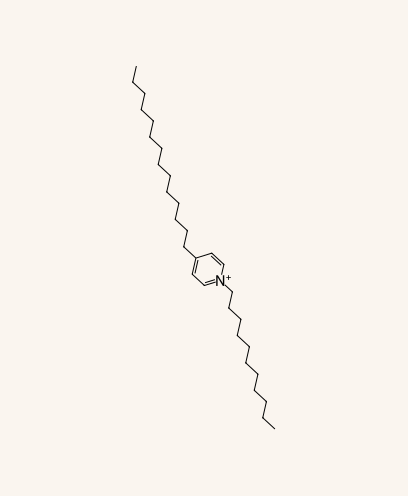 CCCCCCCCCCCCCCc1cc[n+](CCCCCCCCCCC)cc1